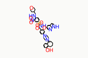 O=C(NS(=O)(=O)c1ccc(NCC2CCOCC2)c([N+](=O)[O-])c1)c1ccc(N2CCN([C@@H]3CCCCc4c(O)cccc43)CC2)cc1Oc1cnc2[nH]ccc2c1